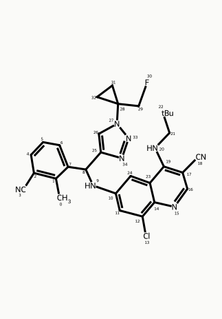 Cc1c(C#N)cccc1C(Nc1cc(Cl)c2ncc(C#N)c(NCC(C)(C)C)c2c1)c1cn(C2(CF)CC2)nn1